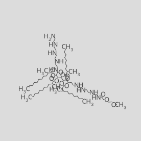 CCCCCCCCCC(C)C(=O)OC(C(=O)CCCNCCNCCNCCNC(=O)COCCOC)C(OC(=O)C(C)CCCCCCCCC)C(OC(=O)C(C)CCCCCCCCC)C(OC(=O)C(C)CCCCCCCCC)C(=O)NCCNCCNCCNCCN